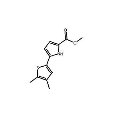 COC(=O)c1ccc(-c2cc(C)c(C)s2)[nH]1